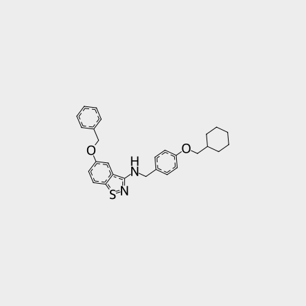 c1ccc(COc2ccc3snc(NCc4ccc(OCC5CCCCC5)cc4)c3c2)cc1